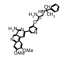 COc1cc2ncc3c(N)nc(-c4cncc(OC[C@@H](N)CNC(C)(C)c5ccccc5)c4)cc3c2cc1OC